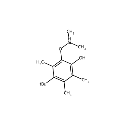 Cc1c(C)c(C(C)(C)C)c(C)c(O[SiH](C)C)c1O